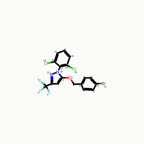 FC(F)(F)c1cc(OCc2ccc(Br)cc2)n(-c2c(Cl)cccc2Cl)n1